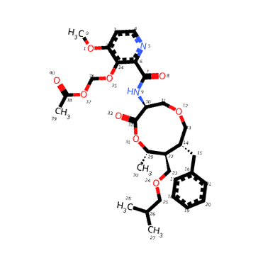 COc1ccnc(C(=O)N[C@H]2COC[C@H](Cc3ccccc3)[C@@H](COCC(C)C)[C@H](C)OC2=O)c1OCOC(C)=O